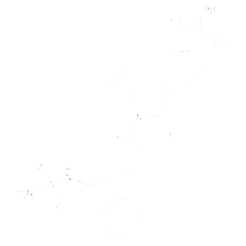 C[C@](O)(c1ccc(C(=O)N(C2CC2)C2CCC(CNS(N)(=O)=O)(c3ccccc3)CC2)cc1)C(F)(F)F